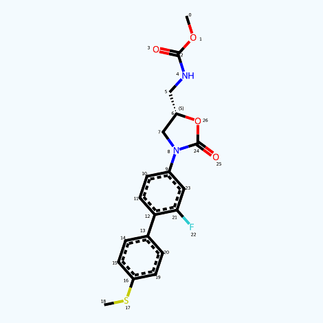 COC(=O)NC[C@H]1CN(c2ccc(-c3ccc(SC)cc3)c(F)c2)C(=O)O1